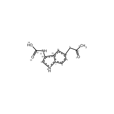 CC(=O)Cc1ccc2[nH]cc(NC(=O)O)c2c1